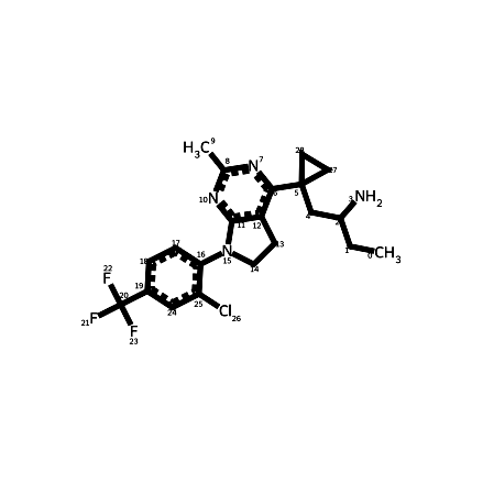 CCC(N)CC1(c2nc(C)nc3c2CCN3c2ccc(C(F)(F)F)cc2Cl)CC1